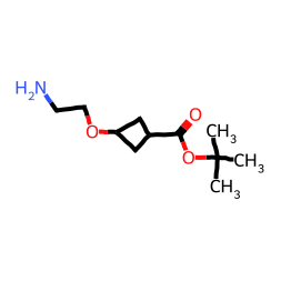 CC(C)(C)OC(=O)C1CC(OCCN)C1